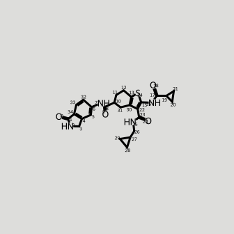 O=C1NCc2cc(NC(=O)C3CCc4sc(NC(=O)C5CC5)c(C(=O)NCC5CC5)c4C3)ccc21